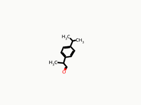 CC(C)c1ccc(C(C)C=O)cc1